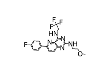 COCCNc1nc(NCC(F)(F)F)c2nc(-c3ccc(F)cc3)ccc2n1